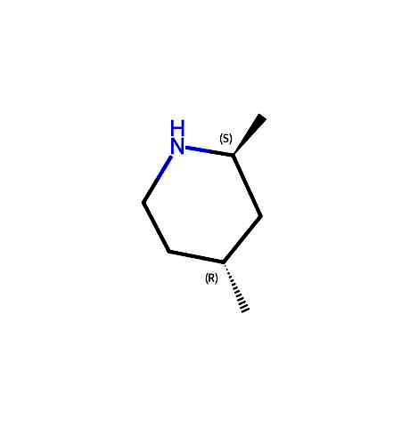 C[C@@H]1CCN[C@@H](C)C1